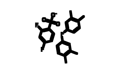 Cc1ccc([I+]c2ccc(C)c(C)c2)cc1C.O=S(=O)([O-])c1ccc(F)cc1F